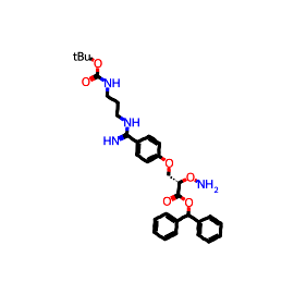 CC(C)(C)OC(=O)NCCCNC(=N)c1ccc(OC[C@H](ON)C(=O)OC(c2ccccc2)c2ccccc2)cc1